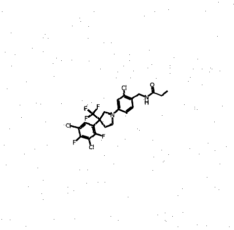 CCC(=O)NCc1ccc(N2CCC(c3cc(Cl)c(F)c(Cl)c3F)(C(F)(F)F)C2)cc1Cl